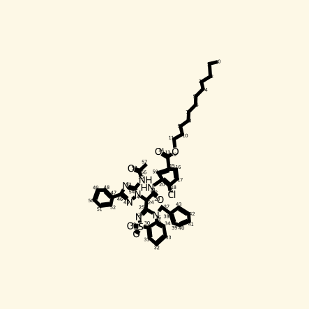 CCCCCCCCCCCCOC(=O)c1ccc(Cl)c(NC(=O)C(C2=NS(=O)(=O)c3ccccc3N2Cc2ccccc2)n2nc(-c3ccccc3)nc2NC(C)=O)c1